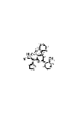 CCC/C=C(\c1ccn[nH]1)c1nc(N2CCOCC2C)cc(C2=CCSCC2)c1N(C)C